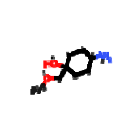 CC(C)OCC1(O)CCC(N)CC1